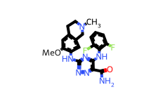 COc1cc2c(cc1Nc1nnc(C(N)=O)c(Nc3c(F)cccc3F)n1)CN(C)CC2